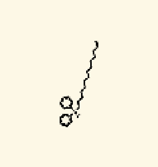 C=CCCCCCCCCCCCC[Si](Cl)(c1ccccc1)c1ccccc1